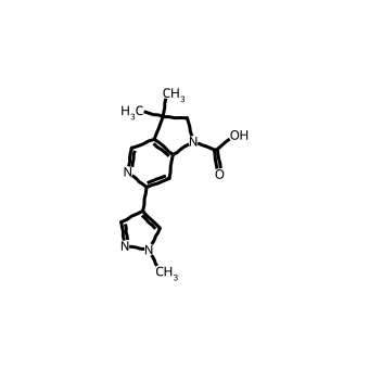 Cn1cc(-c2cc3c(cn2)C(C)(C)CN3C(=O)O)cn1